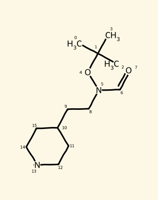 CC(C)(C)ON(C=O)CCC1CC[N]CC1